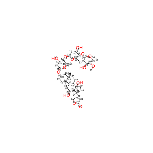 CO[C@H]1[C@@H](O)C[C@H](O[C@H]2[C@@H](O)C[C@H](O[C@H]3[C@@H](O)C[C@H](O[C@H]4CC[C@]5(C)C6C[C@@H](O)[C@]7(C)[C@@H](C8=CC(=O)OC8)CC[C@]7(O)C6CC[C@@H]5C4)O[C@@H]3C)O[C@@H]2C)O[C@@H]1C